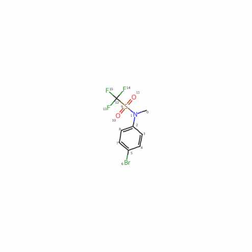 CN(c1ccc(Br)cc1)S(=O)(=O)C(F)(F)F